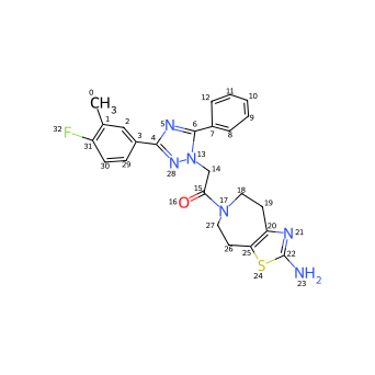 Cc1cc(-c2nc(-c3ccccc3)n(CC(=O)N3CCc4nc(N)sc4CC3)n2)ccc1F